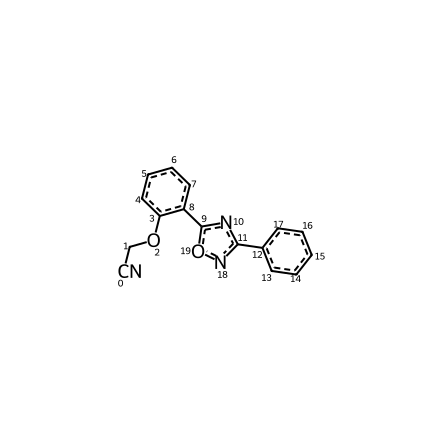 N#CCOc1ccccc1-c1nc(-c2ccccc2)no1